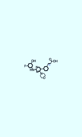 O=C(O)/C=C/c1cccc(-c2cnc(Nc3cc(O)cc(F)c3)nc2N2CCOCC2)c1